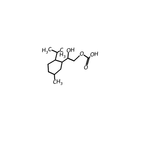 CC1CCC(C(C)C)C(C(O)COC(=O)O)C1